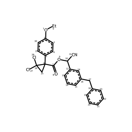 CCOc1ccc(C2(C(=O)OC(C#N)c3cccc(Cc4ccccc4)c3)CC2(Cl)Cl)cc1